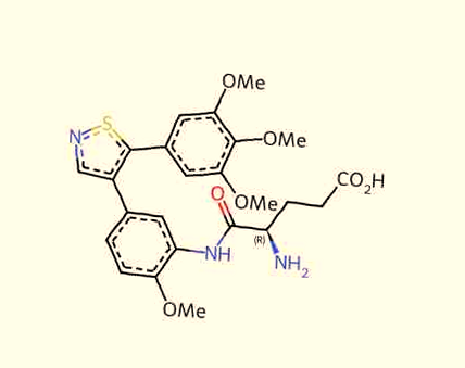 COc1ccc(-c2cnsc2-c2cc(OC)c(OC)c(OC)c2)cc1NC(=O)[C@H](N)CCC(=O)O